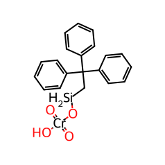 [O]=[Cr](=[O])([OH])[O][SiH2]CC(c1ccccc1)(c1ccccc1)c1ccccc1